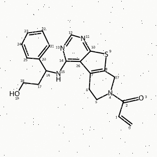 C=CC(=O)N1CCc2c(sc3ncnc(NC(CCO)c4ccccc4)c23)C1